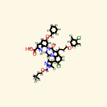 Cc1cc(OCCCc2c3n(c4c(-c5c(C)nn(COCC[Si](C)(C)C)c5C)c(Cl)ccc24)C(C)CN(c2cc(OCc4ccccc4)cc4cc(C(=O)O)n(C)c24)C3=O)cc(C)c1Cl